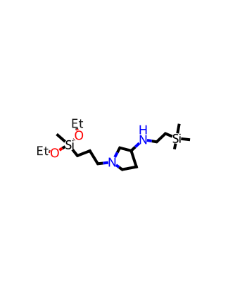 CCO[Si](C)(CCCN1CCC(NCC[Si](C)(C)C)C1)OCC